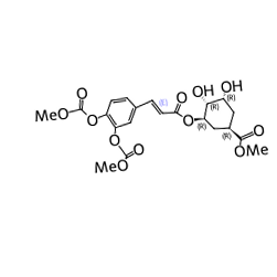 COC(=O)Oc1ccc(/C=C/C(=O)O[C@@H]2C[C@H](C(=O)OC)C[C@@H](O)[C@H]2O)cc1OC(=O)OC